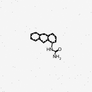 NC(=O)Nc1cccc2cc3ccccc3cc12